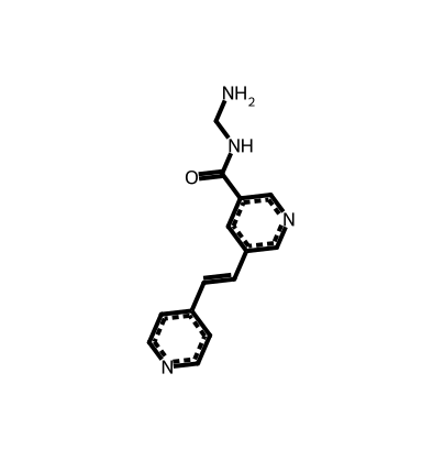 NCNC(=O)c1cncc(C=Cc2ccncc2)c1